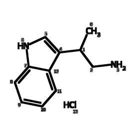 CC(CN)c1c[nH]c2ccccc12.Cl